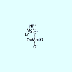 [Li+].[Mg+2].[Ni+2].[O]=[Mn](=[O])([O-])[O-]